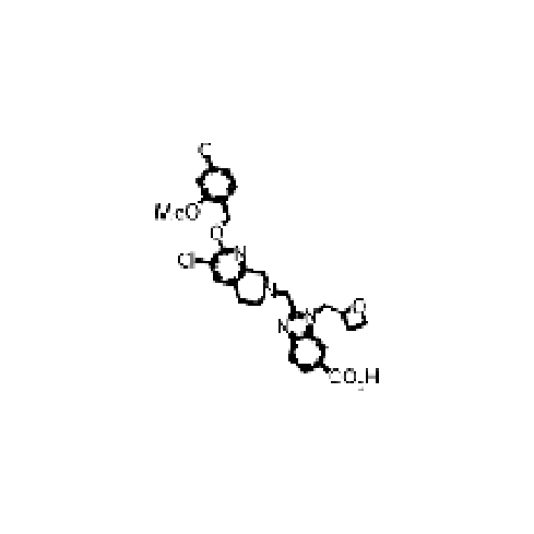 COc1cc(Cl)ccc1COc1nc2c(cc1Cl)CCN(Cc1nc3ccc(C(=O)O)cc3n1C[C@@H]1CCO1)C2